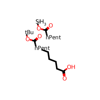 CCCCCC(=O)O.CCCCCC(=O)OC(C)(C)C.CCCCCC(=O)O[SiH3]